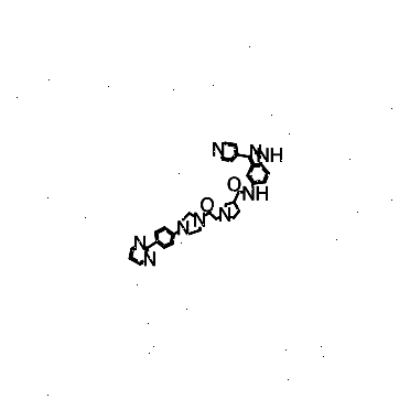 O=C(Nc1ccc2[nH]nc(-c3ccncc3)c2c1)C1CCN(CC(=O)N2CCN(c3ccc(-c4ncccn4)cc3)CC2)C1